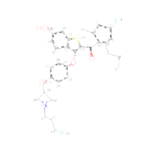 Cc1cc(F)cc(CCF)c1C(=O)c1sc2cc(O)ccc2c1Oc1ccc(OC2CN(CCCF)C2)cc1